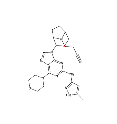 Cc1cc(Nc2nc(N3CCOCC3)c3ncn(C4CCC5CCC4N5CCC#N)c3n2)n[nH]1